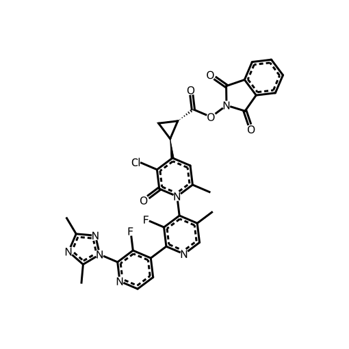 Cc1nc(C)n(-c2nccc(-c3ncc(C)c(-n4c(C)cc([C@H]5C[C@@H]5C(=O)ON5C(=O)c6ccccc6C5=O)c(Cl)c4=O)c3F)c2F)n1